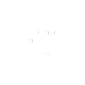 C#N.C#N.[Cu].[NaH]